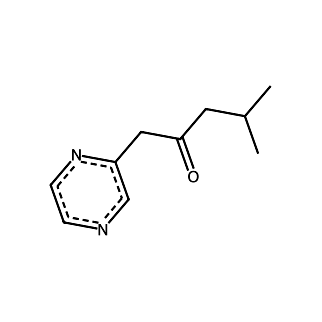 CC(C)CC(=O)Cc1cnccn1